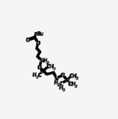 CCCCC(=O)OCCC[SiH2]O[Si](C)(C)CC[SiH2]O[Si](C)(C)C